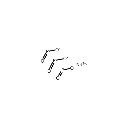 O=P[O-].O=P[O-].O=P[O-].[Nd+3]